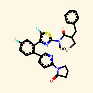 CN(C(=O)C(CC(=O)O)Cc1ccccc1)c1nc(-c2cc(F)ccc2-c2ccc(N3CCCC3=O)nc2)c(F)s1